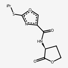 CC(C)Sc1nc(C(=O)N[C@H]2CCOC2=O)co1